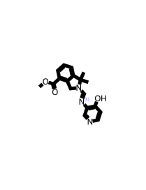 COC(=O)c1cccc2c1CN(/C=N/c1cnccc1O)C2(C)C